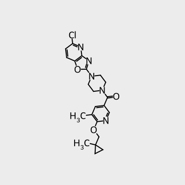 Cc1cc(C(=O)N2CCN(c3nc4nc(Cl)ccc4o3)CC2)cnc1OCC1(C)CC1